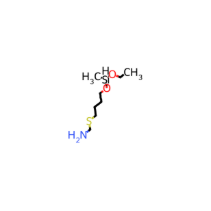 CCO[SiH](C)OCCCCSCN